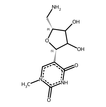 Cn1cc([C@@H]2O[C@H](CN)C(O)C2O)c(=O)[nH]c1=O